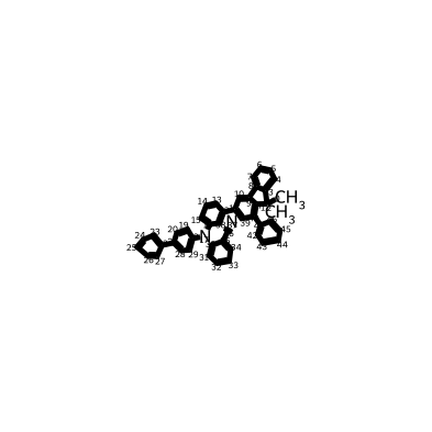 CC1(C)c2ccccc2-c2cc(-c3cccc(N(c4ccc(-c5ccccc5)cc4)c4ccccc4C#N)c3)cc(-c3ccccc3)c21